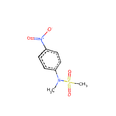 CN(c1ccc([N+](=O)[O-])cc1)S(C)(=O)=O